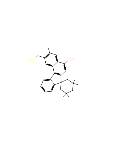 Cc1cc2c(O)cc3c(c2cc1CS)-c1ccccc1C31CC(C)(C)CC(C)(C)C1